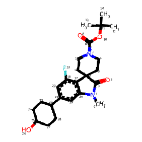 CN1C(=O)C2(CCN(C(=O)OC(C)(C)C)CC2)c2c(F)cc(C3CCC(O)CC3)cc21